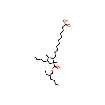 CCCCC(CC)COC(=O)C(C)(CC(CC)CCCC)C(C)CCCCCCCCCCC(=O)O